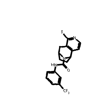 O=C(Nc1cccc(C(F)(F)F)c1)N1C2CCC1c1ccnc(F)c1C2